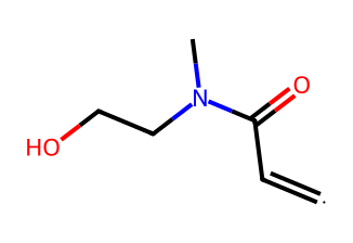 [CH]=CC(=O)N(C)CCO